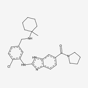 CC1(NCc2ccc(Cl)c(Nc3nc4ccc(C(=O)N5CCCC5)cc4[nH]3)c2)CCCCC1